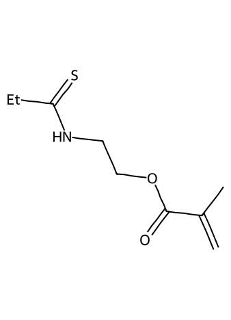 C=C(C)C(=O)OCCNC(=S)CC